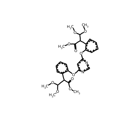 COC(=O)C(c1ccccc1Oc1cc(Oc2ccccc2C(C(=O)OC)C(OC)OC)ncn1)C(OC)OC